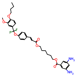 CCCCOc1ccc(C(F)(F)Oc2ccc(C=CC(=O)OCCCCCCOC(=O)c3cc(N)cc(N)c3)cc2)cc1OC